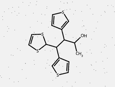 CC(O)C(c1ccsc1)C(c1ccsc1)C1SC=CS1